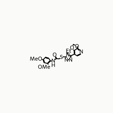 CCn1c(SCC(=O)Nc2ccc(OC)cc2OC)nnc1-c1ccnc2c1OCO2